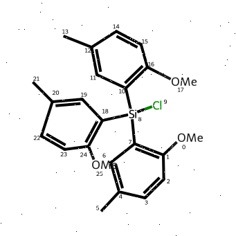 COc1ccc(C)cc1[Si](Cl)(c1cc(C)ccc1OC)c1cc(C)ccc1OC